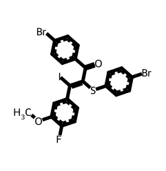 COc1cc(C(I)=C(Sc2ccc(Br)cc2)C(=O)c2ccc(Br)cc2)ccc1F